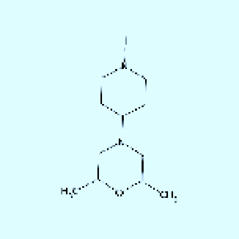 CC1CN(C2CCN(I)CC2)CC(C)O1